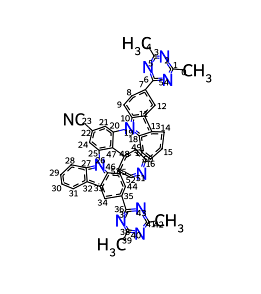 Cc1nc(C)nc(-c2ccc3c(c2)c2ccccc2n3-c2cc(C#N)cc(-n3c4ccccc4c4cc(-c5nc(C)nc(C)n5)ccc43)c2-c2ccncc2)n1